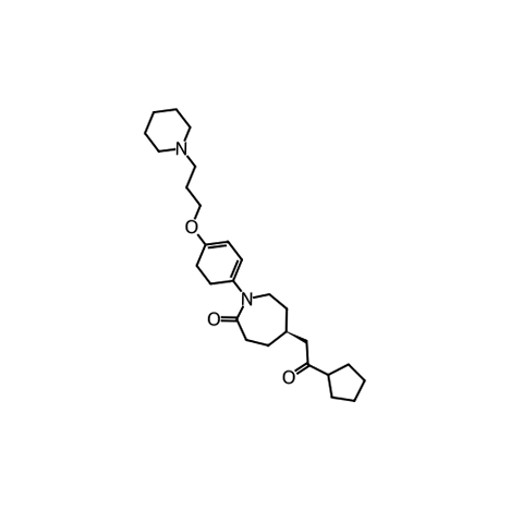 O=C(C[C@H]1CCC(=O)N(C2=CC=C(OCCCN3CCCCC3)CC2)CC1)C1CCCC1